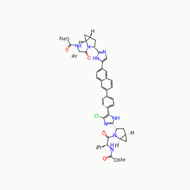 COC(=O)N[C@H](C(=O)N1[C@@H]2C[C@@H]2C[C@H]1c1ncc(-c2ccc3cc(-c4ccc(-c5[nH]c([C@@H]6C[C@H]7C[C@H]7N6C(=O)[C@@H](NC(=O)OC)C(C)C)nc5Cl)cc4)ccc3c2)[nH]1)C(C)C